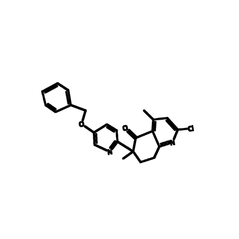 Cc1cc(Cl)nc2c1C(=O)C(C)(c1ccc(OCc3ccccc3)cn1)CC2